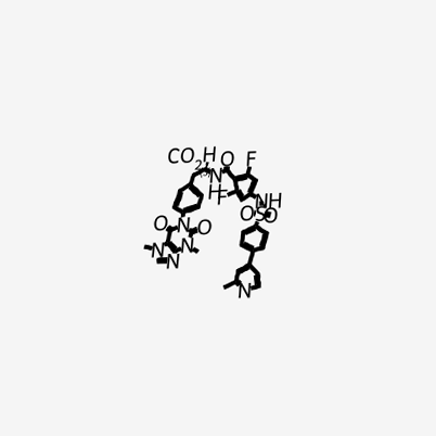 Cc1cc(-c2ccc(S(=O)(=O)Nc3cc(F)c(C(=O)N[C@@H](Cc4ccc(-n5c(=O)c6c(ncn6C)n(C)c5=O)cc4)C(=O)O)c(F)c3)cc2)ccn1